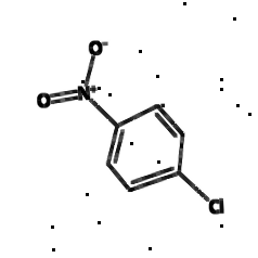 O=[N+]([O-])c1[c]cc(Cl)cc1